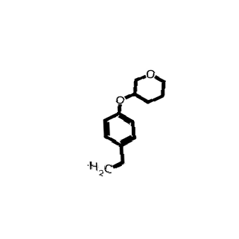 [CH2]Cc1ccc(OC2CCCOC2)cc1